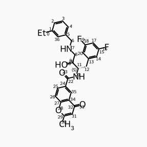 CCc1cccc(CNC[C@H](O)[C@H](Cc2cc(F)cc(F)c2)NC(=O)c2ccc3oc(C)cc(=O)c3c2)c1